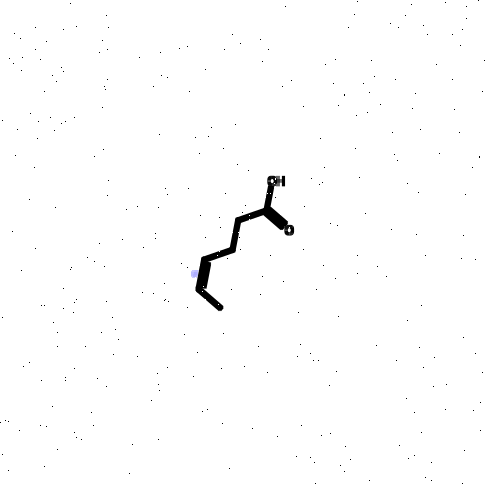 C/C=C\CCC(=O)O